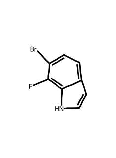 Fc1c(Br)ccc2cc[nH]c12